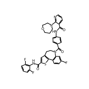 O=C(Nc1c(F)cccc1F)c1cc2c(s1)-c1ccc(F)cc1N(C(=O)c1ccc(NC(=O)c3cccnc3N3CCCOCC3)cc1)CC2